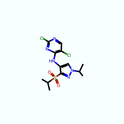 CC(C)n1cc(Nc2nc(Cl)ncc2Cl)c(S(=O)(=O)C(C)C)n1